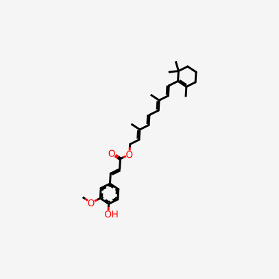 COc1cc(C=CC(=O)OC/C=C(C)/C=C/C=C(C)/C=C/C2=C(C)CCCC2(C)C)ccc1O